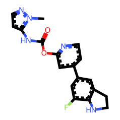 Cn1nccc1NC(=O)Oc1cc(-c2cc(F)c3c(c2)CCN3)ccn1